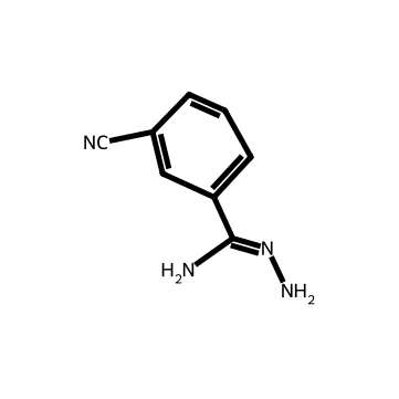 N#Cc1cccc(C(N)=NN)c1